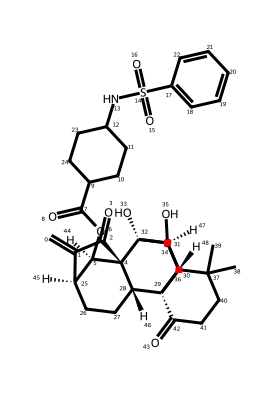 C=C1C(=O)[C@]23[C@H](OC(=O)C4CCC(NS(=O)(=O)c5ccccc5)CC4)[C@H]1CC[C@H]2[C@@]12CO[C@@]3(O)[C@@H](O)[C@@H]1C(C)(C)CCC2=O